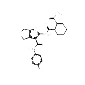 O=C(Nc1ccc(Cl)cc1)c1c(NC(=O)C2CCCCC2C(=O)O)sc2c1CSC2